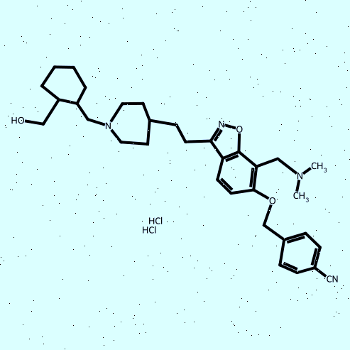 CN(C)Cc1c(OCc2ccc(C#N)cc2)ccc2c(CCC3CCN(CC4CCCCC4CO)CC3)noc12.Cl.Cl